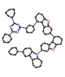 c1ccc(-c2ccc3c(c2)c2ccccc2n3-c2ccc3c(c2)oc2cccc(-c4ccc5c(c4)oc4cccc(-c6cccc(-c7nc(-c8ccccc8)nc(-c8ccccc8)n7)c6)c45)c23)cc1